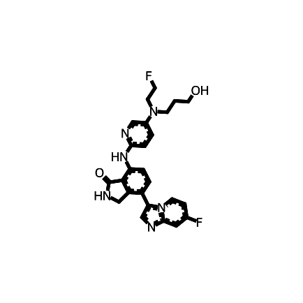 O=C1NCc2c(-c3cnc4cc(F)ccn34)ccc(Nc3ccc(N(CCF)CCCO)cn3)c21